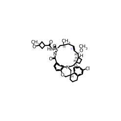 COC1CC(C(=O)N[S@@]2(=O)=NC(=O)c3ccc4c(c3)N(C[C@@H]3CC[C@H]3[C@@H](OC)/C=C/C[C@H](C)C2)C[C@@]2(CCCc3cc(Cl)ccc32)CO4)C1